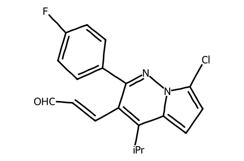 CC(C)c1c(C=CC=O)c(-c2ccc(F)cc2)nn2c(Cl)ccc12